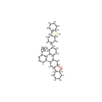 N#Cc1ccccc1-c1c(-c2ccc3c(c2)oc2ccccc23)ccc(-c2ccc3c(c2)sc2ccccc23)c1C#N